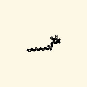 COCCOCCOCC[N+](C)(C)CCN1CC(C)(C)NC1=O